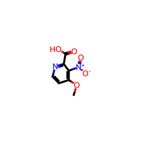 COc1ccnc(C(=O)O)c1[N+](=O)[O-]